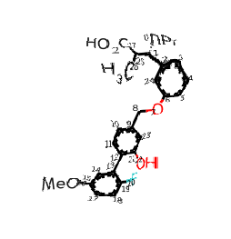 CCC[C@H](c1cccc(OCc2ccc(-c3cc(OC)ccc3F)c(O)c2)c1)C(C)C(=O)O